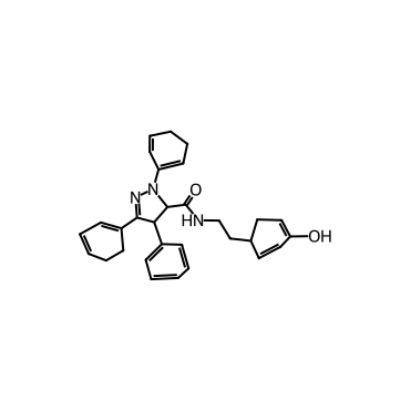 O=C(NCCC1C=CC(O)=CC1)C1C(c2ccccc2)C(C2=CC=CCC2)=NN1C1=CCCC=C1